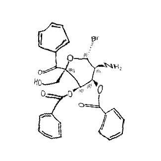 N[C@H]1[C@@H](OC(=O)c2ccccc2)[C@@H](OC(=O)c2ccccc2)[C@](CO)(C(=O)c2ccccc2)O[C@@H]1Br